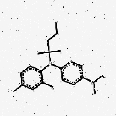 CCCC(C)(C)N(c1ccc(C(C)C)cn1)c1ccc(C)cc1C